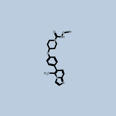 Cc1c(-c2ccc(OC3CCN(C(=O)NOC(C)C)CC3)cc2)ccc2nccn12